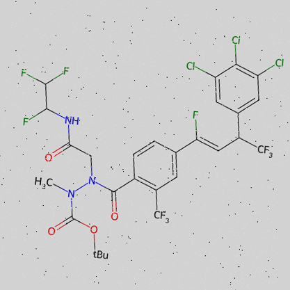 CN(C(=O)OC(C)(C)C)N(CC(=O)NC(F)C(F)F)C(=O)c1ccc(C(F)=CC(c2cc(Cl)c(Cl)c(Cl)c2)C(F)(F)F)cc1C(F)(F)F